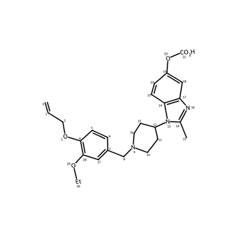 C=CCOc1ccc(CN2CCC(n3c(C)nc4cc(OC(=O)O)ccc43)CC2)cc1OCC